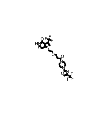 O=C(CCOCCn1cc(C(F)(F)F)c2c(=O)[nH]ncc21)N1CCN(c2nc(C(F)(F)F)co2)CC1